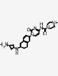 N[C@H]1C[C@@H](NC2CCc3cc(-n4ccc(NC(=O)N5CCNCC5)nc4=O)ccc3C2)C1